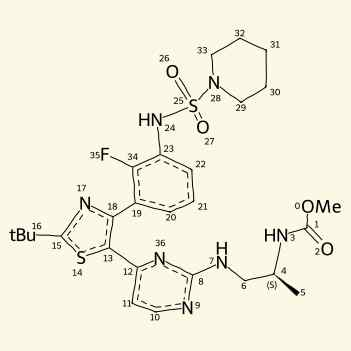 COC(=O)N[C@@H](C)CNc1nccc(-c2sc(C(C)(C)C)nc2-c2cccc(NS(=O)(=O)N3CCCCC3)c2F)n1